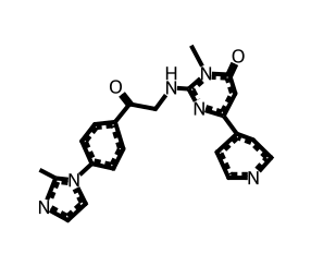 Cc1nccn1-c1ccc(C(=O)CNc2nc(-c3ccncc3)cc(=O)n2C)cc1